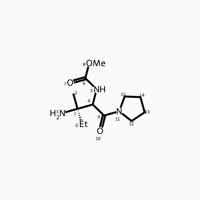 CC[C@@](C)(N)C(NC(=O)OC)C(=O)N1CCCC1